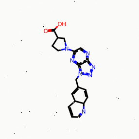 O=C(O)C1CCN(c2cnc3nnn(CC4=CC5C=CC=NC5C=C4)c3n2)C1